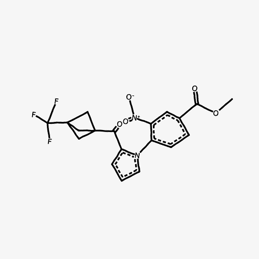 COC(=O)c1ccc(-n2cccc2C(=O)C23CC(C(F)(F)F)(C2)C3)c([N+](=O)[O-])c1